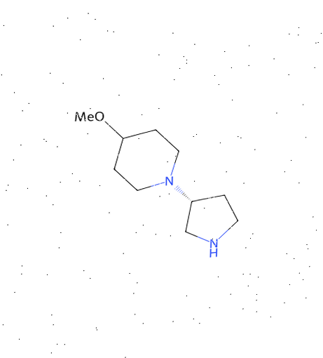 COC1CCN([C@@H]2CCNC2)CC1